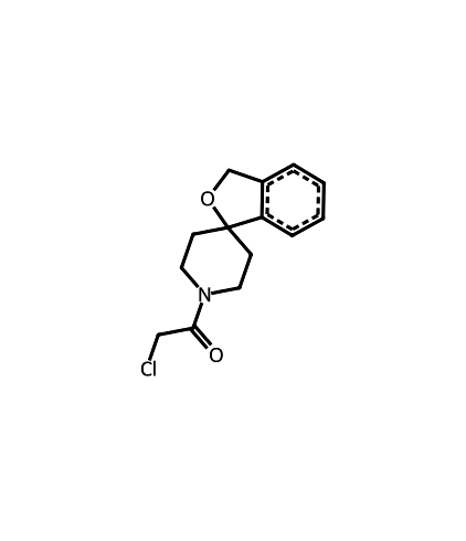 O=C(CCl)N1CCC2(CC1)OCc1ccccc12